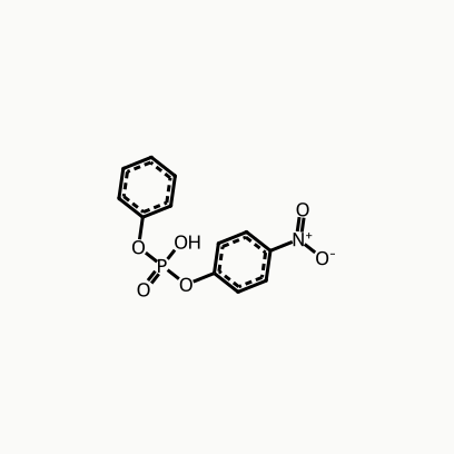 O=[N+]([O-])c1ccc(OP(=O)(O)Oc2ccccc2)cc1